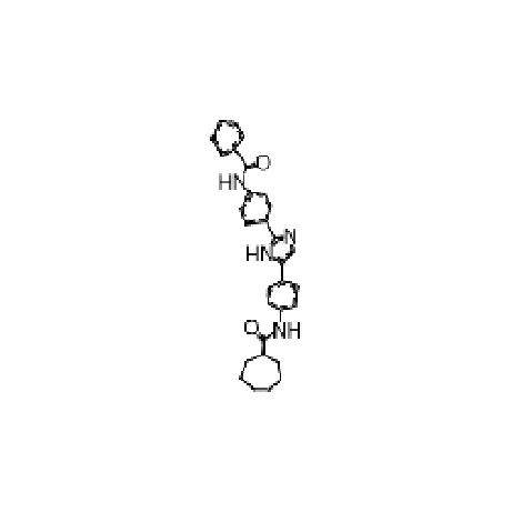 O=C(Nc1ccc(-c2ncc(-c3ccc(NC(=O)C4CCCCCC4)cc3)[nH]2)cc1)c1ccccc1